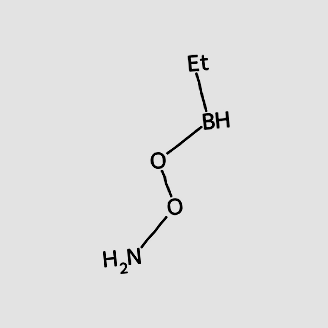 CCBOON